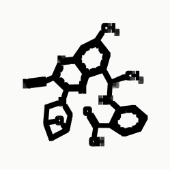 Cc1cc([C@@H](C)Nc2ccccc2C(=O)O)c2nc(N3CC4CC(C3)O4)c(C#N)nc2c1